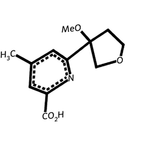 COC1(c2cc(C)cc(C(=O)O)n2)CCOC1